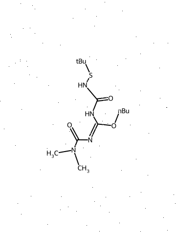 CCCCOC(=NC(=O)N(C)C)NC(=O)NSC(C)(C)C